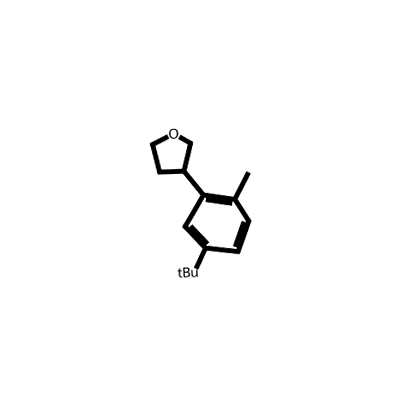 Cc1ccc(C(C)(C)C)cc1C1CCOC1